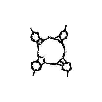 C=C1/C2=C\C3=NC(Nc4[nH]c(c5cc(C)ccc45)/N=C4\C=C=C(/N=C\1c1ccc(C)cc12)c1ccc(C)cc14)c1ccc(C)cc13